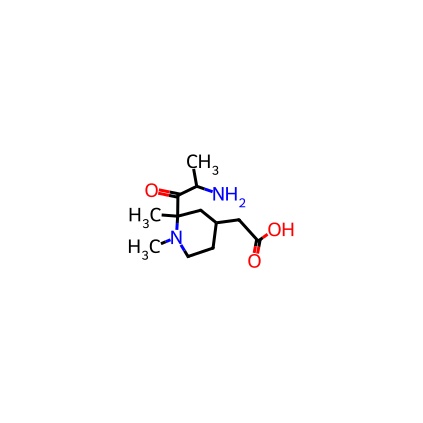 CC(N)C(=O)C1(C)CC(CC(=O)O)CCN1C